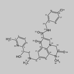 Cc1cccc(C(O)CN(C)Cc2cc3c4c(c2)c(=O)c(C(=O)NCc2ccc(Cl)cc2)cn4CC(=O)N3C)n1